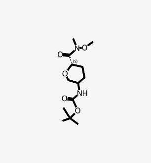 CON(C)C(=O)[C@@H]1CCC(NC(=O)OC(C)(C)C)CO1